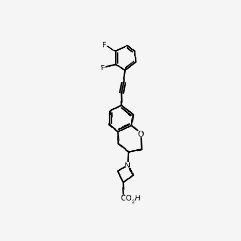 O=C(O)C1CN(C2COc3cc(C#Cc4cccc(F)c4F)ccc3C2)C1